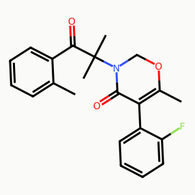 CC1=C(c2ccccc2F)C(=O)N(C(C)(C)C(=O)c2ccccc2C)CO1